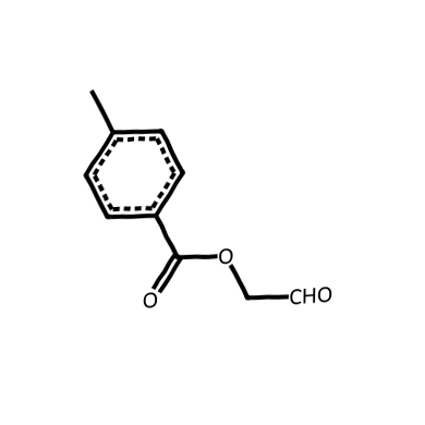 Cc1ccc(C(=O)OCC=O)cc1